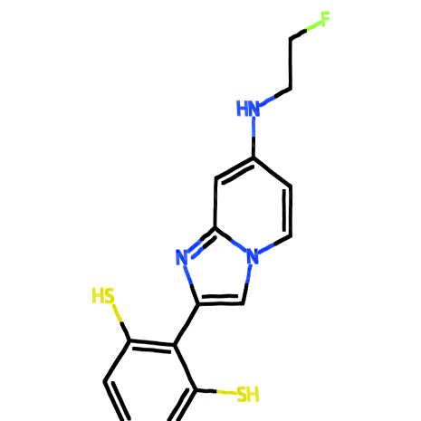 FCCNc1ccn2cc(-c3c(S)cccc3S)nc2c1